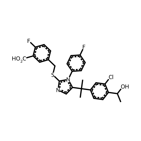 CC(O)c1ccc(C(C)(C)c2cnc(SCc3ccc(F)c(C(=O)O)c3)n2-c2ccc(F)cc2)cc1Cl